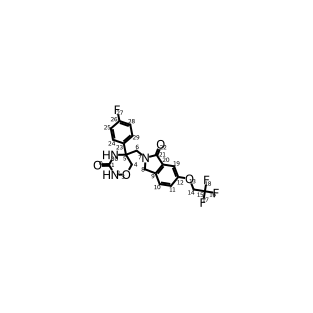 O=C1NOCC(CN2Cc3ccc(OCC(F)(F)F)cc3C2=O)(c2ccc(F)cc2)N1